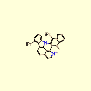 Cc1c2ccccc2c(C(C)C)c2c1c1c3c(ccc4c5c(C(C)C)cccc5n2c43)cc[n+]1C